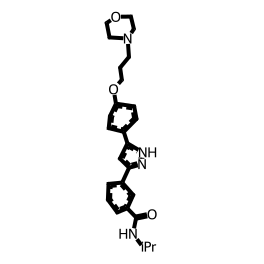 CC(C)NC(=O)c1cccc(-c2cc(-c3ccc(OCCCN4CCOCC4)cc3)[nH]n2)c1